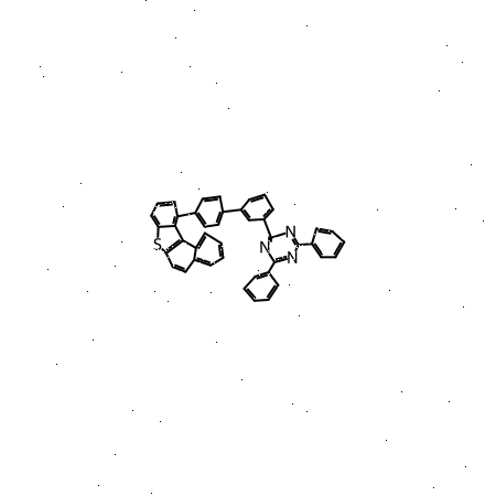 c1ccc(-c2nc(-c3ccccc3)nc(-c3cccc(-c4ccc(-c5cccc6sc7ccc8ccccc8c7c56)cc4)c3)n2)cc1